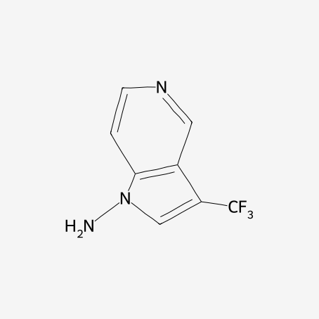 Nn1cc(C(F)(F)F)c2cnccc21